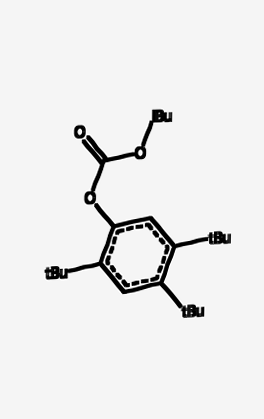 CCC(C)OC(=O)Oc1cc(C(C)(C)C)c(C(C)(C)C)cc1C(C)(C)C